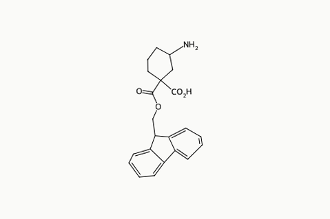 NC1CCCC(C(=O)O)(C(=O)OCC2c3ccccc3-c3ccccc32)C1